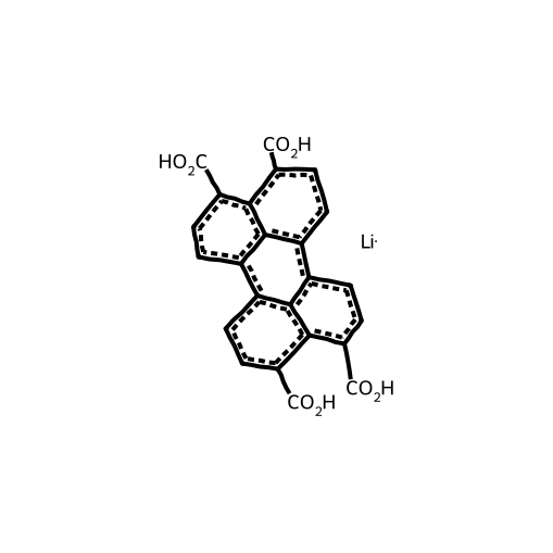 O=C(O)c1ccc2c3ccc(C(=O)O)c4c(C(=O)O)ccc(c5ccc(C(=O)O)c1c25)c43.[Li]